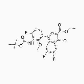 CCOC(=O)c1cn(-c2ccc(F)c(NC(=O)OC(C)(C)C)c2OC)c2cc(F)c(F)cc2c1=O